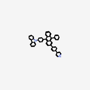 c1ccc(-c2c3ccccc3c(-c3ccc(-n4c5ccccc5c5ccccc54)cc3)c3ccc(-c4ccc(-c5ccncc5)cc4)cc23)cc1